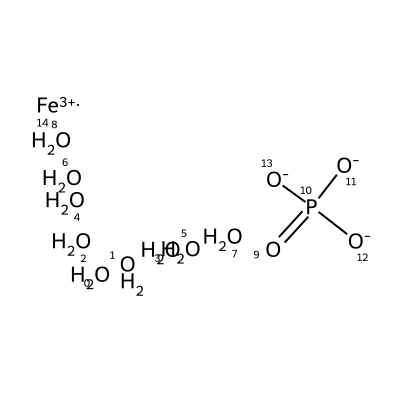 O.O.O.O.O.O.O.O.O.O=P([O-])([O-])[O-].[Fe+3]